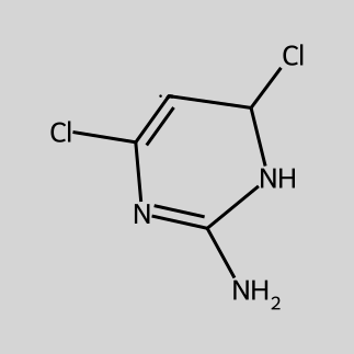 NC1=NC(Cl)=[C]C(Cl)N1